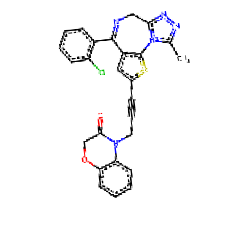 Cc1nnc2n1-c1sc(C#CCN3C(=O)COc4ccccc43)cc1C(c1ccccc1Cl)=NC2